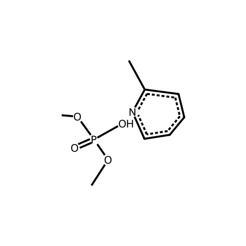 COP(=O)(O)OC.Cc1ccccn1